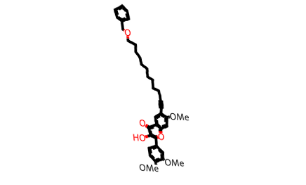 COc1cc2oc(-c3ccc(OC)c(OC)c3)c(O)c(=O)c2cc1C#CCCCCCCCCCCOCc1ccccc1